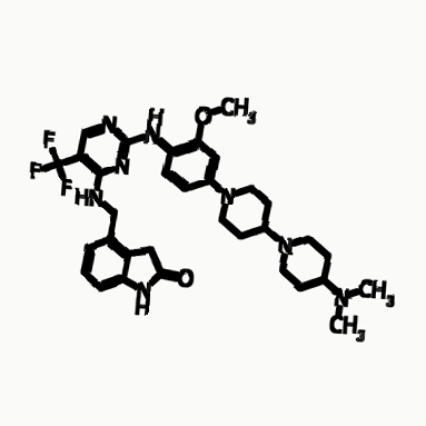 COc1cc(N2CCC(N3CCC(N(C)C)CC3)CC2)ccc1Nc1ncc(C(F)(F)F)c(NCc2cccc3c2CC(=O)N3)n1